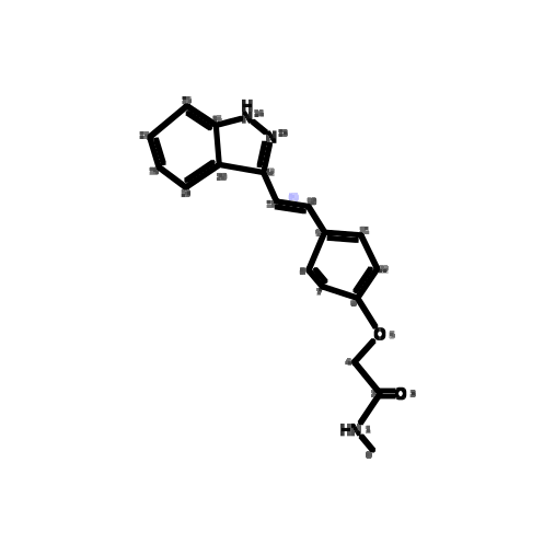 CNC(=O)COc1ccc(/C=C/c2n[nH]c3ccccc23)cc1